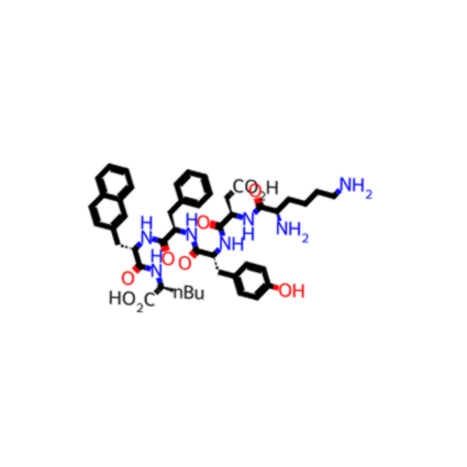 CCCC[C@H](NC(=O)[C@H](Cc1ccc2ccccc2c1)NC(=O)[C@@H](Cc1ccccc1)NC(=O)[C@@H](Cc1ccc(O)cc1)NC(=O)[C@@H](CC(=O)O)NC(=O)[C@H](N)CCCCN)C(=O)O